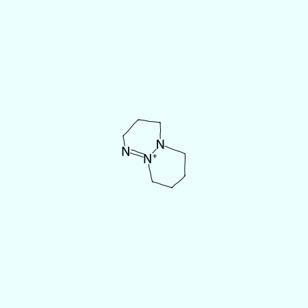 C1CC[N+]2=NCCCN2C1